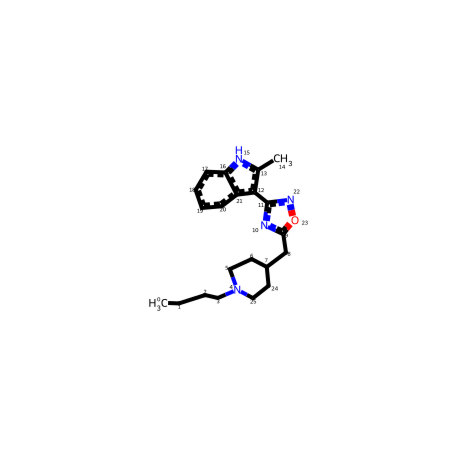 CCCCN1CCC(Cc2nc(-c3c(C)[nH]c4ccccc34)no2)CC1